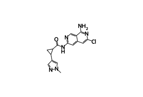 Cn1cc(C2CC2C(=O)Nc2cc3cc(Cl)nc(N)c3cn2)cn1